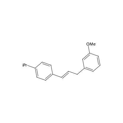 COc1cccc(C/C=C/c2ccc(C(C)C)cc2)c1